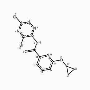 O=C(Nc1ncc(Cl)nc1Br)c1cccc(OC2CC2)n1